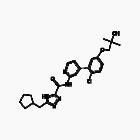 CC(C)(O)COc1ccc(Cl)c(-c2ccnc(NC(=O)c3nnc(CC4CCCC4)[nH]3)c2)c1